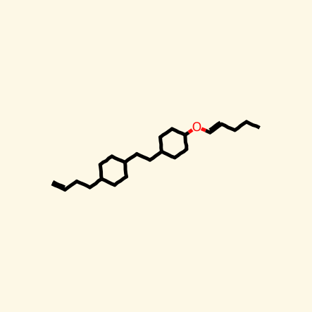 C=CCCC1CCC(CCC2CCC(O/C=C/CCC)CC2)CC1